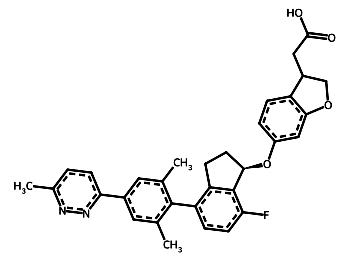 Cc1ccc(-c2cc(C)c(-c3ccc(F)c4c3CC[C@H]4Oc3ccc4c(c3)OCC4CC(=O)O)c(C)c2)nn1